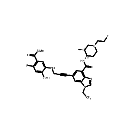 CNC(=O)c1cc(NCC#Cc2cc(C(=O)N[C@H]3CCN(CCF)C[C@@H]3C)c3ncn(CC(F)(F)F)c3c2)c(OC)cc1F